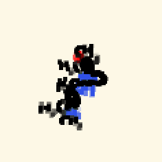 C=C(Nc1ccc(C(=C)NCC)cc1)C(=N)/C=C1/CC/C=C\C=C(\c2ccc(OC)c(C)c2)N1